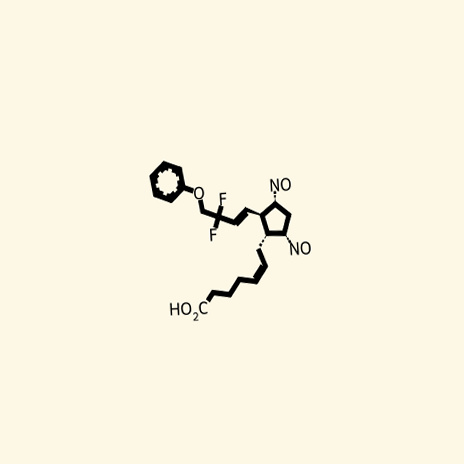 O=N[C@H]1C[C@@H](N=O)[C@H](/C=C/C(F)(F)COc2ccccc2)[C@H]1C/C=C\CCCC(=O)O